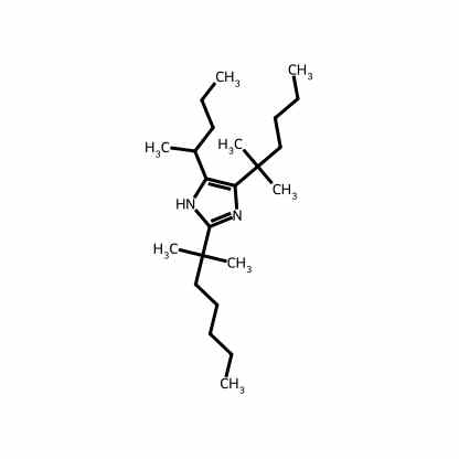 CCCCCC(C)(C)c1nc(C(C)(C)CCCC)c(C(C)CCC)[nH]1